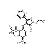 CC[N+](CC)=C1C=CC(=Nc2c(-c3ccccc3)nn(CCO)c2N)C(NS(C)(=O)=O)=C1